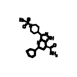 CCS(=O)(=O)N1CCC(c2n[nH]c3c(C(N)=O)cc(-c4ccccc4)nc23)CC1